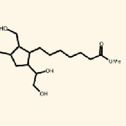 COC(=O)CCCCCCC1C(CO)C(C)CC1C(O)CO